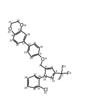 FC(F)(F)c1cc(COc2ccc(-c3ccc4c(c3)OCCO4)cc2)n(-c2ccccc2Cl)n1